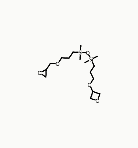 C[Si](C)(CCCOCC1CO1)O[Si](C)(C)CCCOC1COC1